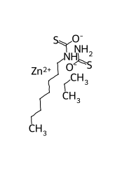 CCC.CCCCCCCCNC([O-])=S.NC([O-])=S.[Zn+2]